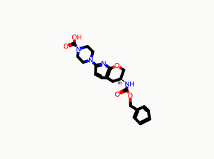 O=C(N[C@H]1COc2nc(N3CCN(C(=O)O)CC3)ccc2C1)OCc1ccccc1